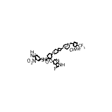 COc1cc(CN2CCN(C3CC4(CCN(c5ccc(C(=O)NSc6ccc(N)c([N+](=O)[O-])c6)c(Oc6cnc7[nH]cc(F)c7c6)c5)CC4)C3)CC2)ccc1C(F)(F)F